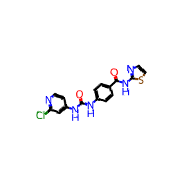 O=C(Nc1ccc(C(=O)Nc2nccs2)cc1)Nc1ccnc(Cl)c1